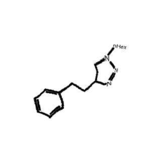 CCCCCCN1CC(CCc2ccccc2)N=N1